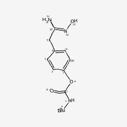 CC(C)(C)NC(=O)Oc1ccc(CC(N)=NO)cc1